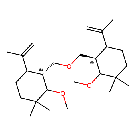 C=C(C)C1CCC(C)(C)C(OC)[C@H]1COC[C@H]1C(C(=C)C)CCC(C)(C)C1OC